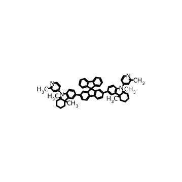 Cc1cc(N2c3ccc(-c4ccc5c(c4)C4(c6ccccc6-c6ccccc64)c4cc(-c6ccc7c(c6)C6(C)CCCCC6(C)N7c6ccnc(C)c6)ccc4-5)cc3C3(C)CCCCC23C)ccn1